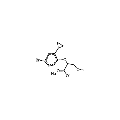 COCC(Oc1ccc(Br)cc1C1CC1)C(=O)[O-].[Na+]